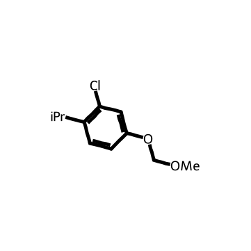 COCOc1ccc(C(C)C)c(Cl)c1